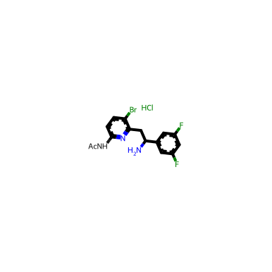 CC(=O)Nc1ccc(Br)c(CC(N)c2cc(F)cc(F)c2)n1.Cl